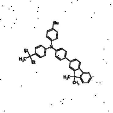 CCC(C)c1ccc(N(c2ccc(-c3ccc4c(c3)C(C)(C)c3ccccc3-4)cc2)c2ccc(C(C)(CC)CC)cc2)cc1